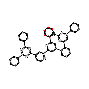 c1ccc(-c2cc(-c3ccccc3-c3cc(-c4ccccn4)nc(-c4cc(-c5nc(-c6ccccc6)nc(-c6ccccc6)n5)ccn4)c3)nc(-c3ccccc3)n2)cc1